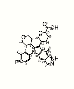 Cc1cc(-n2c(C3CCOCC3)c([C@@H]3CCC(C(=O)O)OC3)c3c(F)c4[nH]ncc4cc32)ccc1F